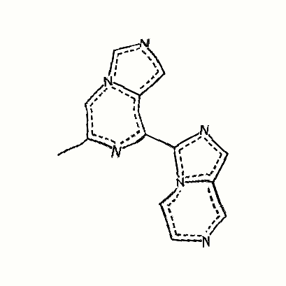 Cc1cn2cncc2c(-c2ncc3cnccn23)n1